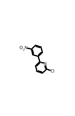 O=[N+]([O-])c1cccc(-c2c[c]cc(Cl)n2)c1